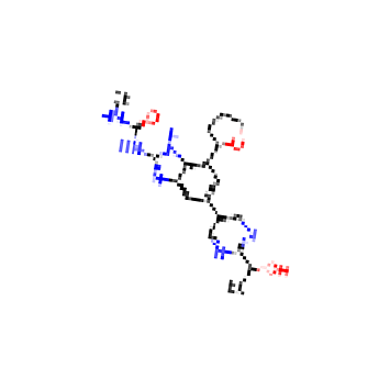 CCNC(=O)Nc1nc2cc(-c3cnc(C(O)CC)nc3)cc(C3CCCO3)c2[nH]1